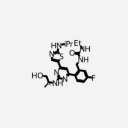 CCNC(=O)NCc1cc(F)ccc1-c1cc(-c2cnc(NC(C)C)s2)nc(N[C@@H](C)CO)n1